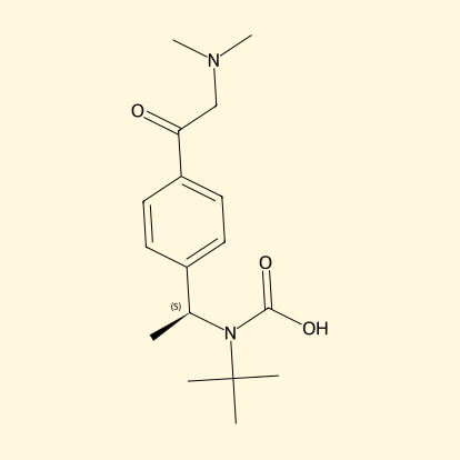 C[C@@H](c1ccc(C(=O)CN(C)C)cc1)N(C(=O)O)C(C)(C)C